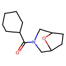 O=C(C1CCCCC1)N1CC2CCC(C1)O2